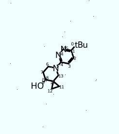 CC(C)(C)c1ccc(N2CC[C@H](O)C3(CC3)C2)nn1